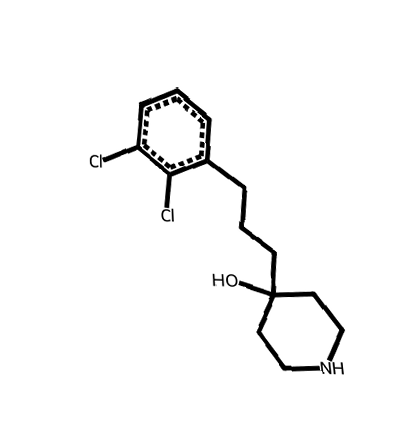 OC1(CCCc2cccc(Cl)c2Cl)CCNCC1